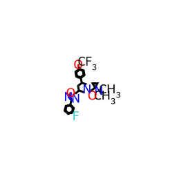 CN(C)C1(C(=O)N2CC(c3ccc(OC(F)(F)F)cc3)CC(c3nc(-c4cccc(F)c4)no3)C2)CC1